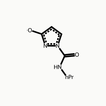 CCCNC(=O)n1ccc([O])n1